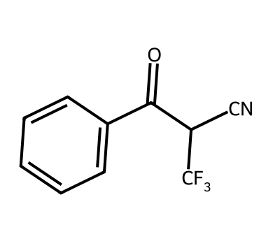 N#CC(C(=O)c1ccccc1)C(F)(F)F